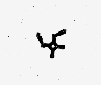 N#C/N=C1\C(=O)C(=O)\C1=N\C#N